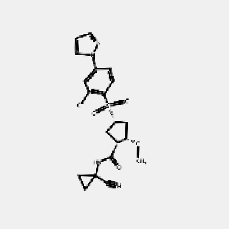 CO[C@H]1C[C@@H](S(=O)(=O)c2ccc(-n3cccn3)cc2Cl)C[C@@H]1C(=O)NC1(C#N)CC1